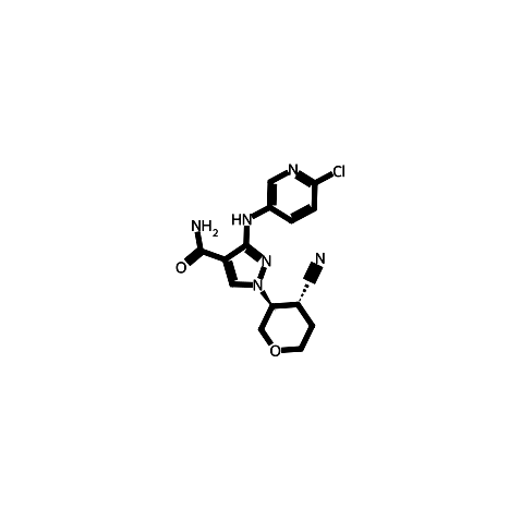 N#C[C@@H]1CCOC[C@H]1n1cc(C(N)=O)c(Nc2ccc(Cl)nc2)n1